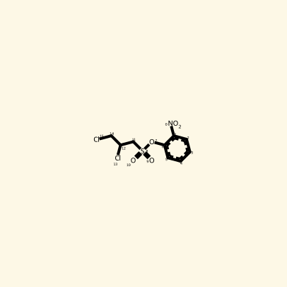 O=[N+]([O-])c1ccccc1OS(=O)(=O)CC(Cl)CCl